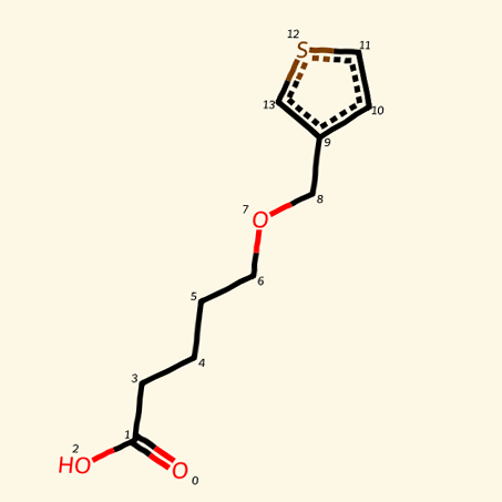 O=C(O)CCCCOCc1ccsc1